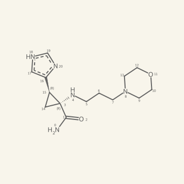 NC(=O)[C@@]1(NCCCN2CCOCC2)C[C@H]1c1c[nH]cn1